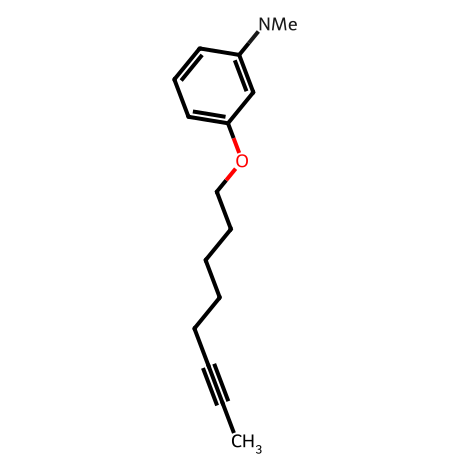 CC#CCCCCCOc1cccc(NC)c1